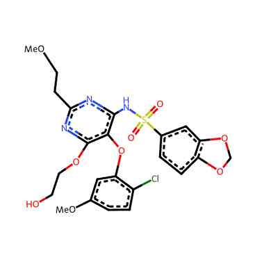 COCCc1nc(NS(=O)(=O)c2ccc3c(c2)OCO3)c(Oc2cc(OC)ccc2Cl)c(OCCO)n1